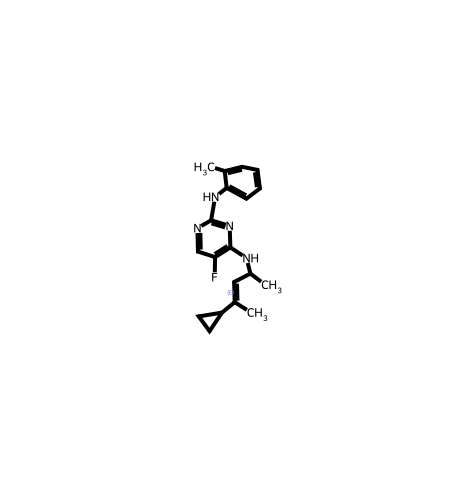 C/C(=C\C(C)Nc1nc(Nc2ccccc2C)ncc1F)C1CC1